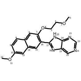 COCCOc1cc2ccc(OC)cc2cc1-c1nc2cncnc2[nH]1